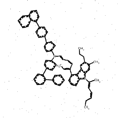 C\C=C(/C=C\C=C\N(c1ccc(-c2ccc(-c3cccc4ccccc34)cc2)cc1)c1ccc(-c2ccccc2-c2ccccc2)cc1)c1cccc2c1c1cc(CCC)c(C)cc1n2/C(C)=C/C=C\CC